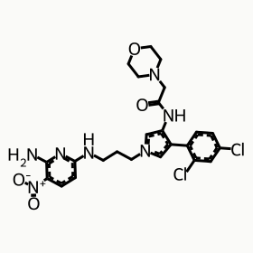 Nc1nc(NCCCn2cc(NC(=O)CN3CCOCC3)c(-c3ccc(Cl)cc3Cl)c2)ccc1[N+](=O)[O-]